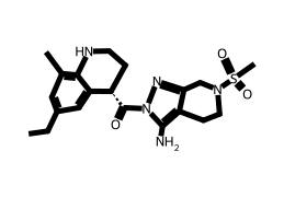 CCc1cc(C)c2c(c1)[C@@H](C(=O)n1nc3c(c1N)CCN(S(C)(=O)=O)C3)CCN2